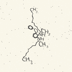 CCCCCCCCCCC(C)Nc1cccc(Oc2ccccc2)c1NC(C)CCCCCCCCCC